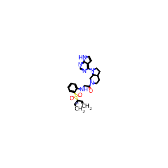 C=C/C(=C\C)S(=O)(=O)c1ccccc1NCC(=O)N1CCC2CCN(c3ncnc4[nH]ccc34)C2C1